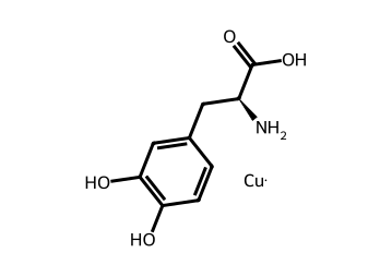 N[C@@H](Cc1ccc(O)c(O)c1)C(=O)O.[Cu]